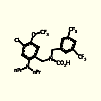 CCCN(CCC)c1cc(Cl)c(OC(F)(F)F)cc1CN(Cc1cc(C(F)(F)F)cc(C(F)(F)F)c1)C(=O)O